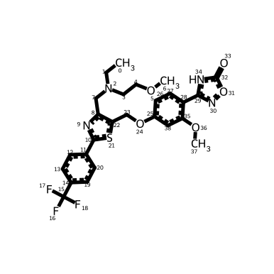 CCN(CCOC)Cc1nc(-c2ccc(C(F)(F)F)cc2)sc1COc1ccc(-c2noc(=O)[nH]2)c(OC)c1